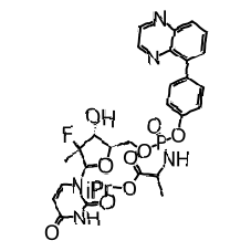 CC(C)OC(=O)C(C)NP(=O)(OC[C@H]1O[C@@H](n2ccc(=O)[nH]c2=O)[C@](C)(F)[C@@H]1O)Oc1ccc(-c2cccc3nccnc23)cc1